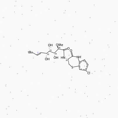 CO[C@@H](C(=O)N[C@H]1CSc2cc(Cl)ccc2NC1=O)[C@H](O)[C@@H](O)[C@H](O)/C=C/C(C)(C)C